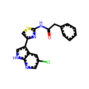 O=C(Cc1ccccc1)Nc1nc(-c2c[nH]c3ncc(Cl)cc23)cs1